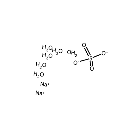 O.O.O.O.O.O.O=S(=O)([O-])[O-].[Na+].[Na+]